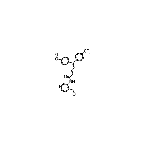 CCOc1ccc(/C(=C\C=C\C(=O)Nc2cnccc2CO)c2ccc(C(F)(F)F)cc2)cc1